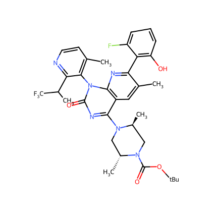 Cc1cc2c(N3C[C@@H](C)N(C(=O)OC(C)(C)C)C[C@@H]3C)nc(=O)n(-c3c(C)ccnc3C(C)C(F)(F)F)c2nc1-c1c(O)cccc1F